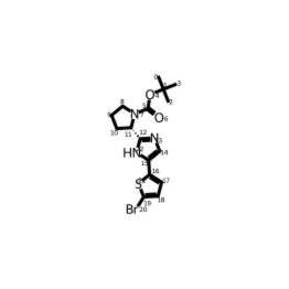 CC(C)(C)OC(=O)N1CCC[C@H]1c1ncc(-c2ccc(Br)s2)[nH]1